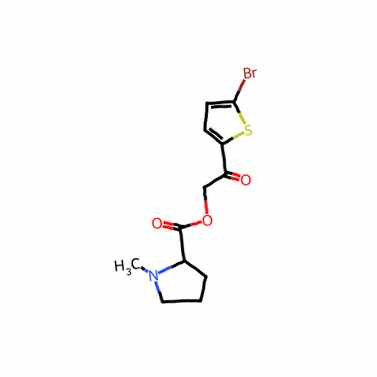 CN1CCCC1C(=O)OCC(=O)c1ccc(Br)s1